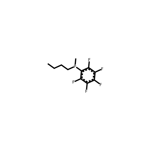 CCCCP(C)c1c(F)c(F)c(F)c(F)c1F